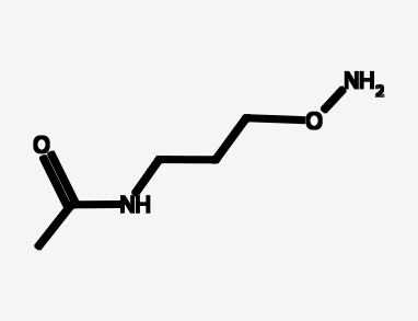 CC(=O)NCCCON